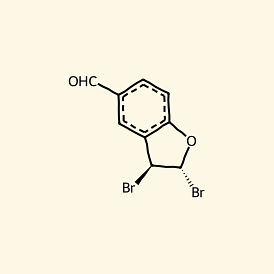 O=Cc1ccc2c(c1)[C@H](Br)[C@@H](Br)O2